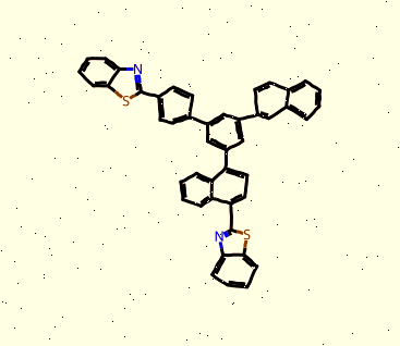 c1ccc2cc(-c3cc(-c4ccc(-c5nc6ccccc6s5)cc4)cc(-c4ccc(-c5nc6ccccc6s5)c5ccccc45)c3)ccc2c1